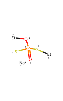 CCOP(=O)([S-])SCC.[Na+]